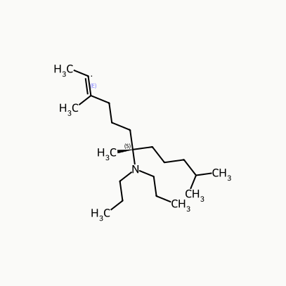 C/[C]=C(\C)CCC[C@](C)(CCCC(C)C)N(CCC)CCC